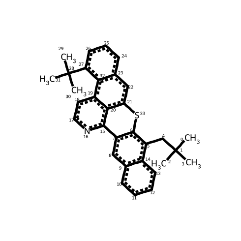 CC(C)(C)Cc1c2c(cc3ccccc13)-c1nccc3c1c(cc1cccc(C(C)(C)C)c13)S2